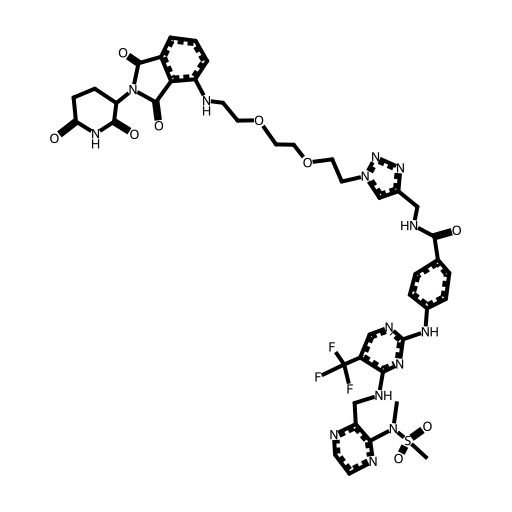 CN(c1nccnc1CNc1nc(Nc2ccc(C(=O)NCc3cn(CCOCCOCCNc4cccc5c4C(=O)N(C4CCC(=O)NC4=O)C5=O)nn3)cc2)ncc1C(F)(F)F)S(C)(=O)=O